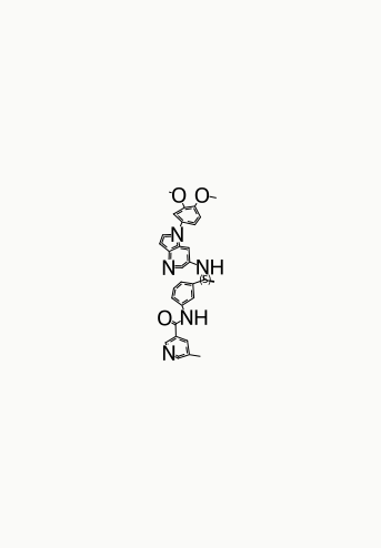 COc1ccc(-n2ccc3ncc(N[C@@H](C)c4cccc(NC(=O)c5cncc(C)c5)c4)cc32)cc1OC